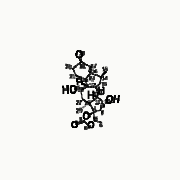 CC(=O)O[C@]1(C(C)=O)C[C@@H](O)[C@H]2[C@@H]3C[C@H](C)C4=CC(=O)CC[C@]4(C)[C@H]3[C@@H](O)C[C@@]21C